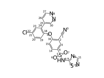 N#Cc1cc(S(=O)(=O)Nc2ncns2)ccc1Oc1ccc(Cl)cc1-c1ccnnc1